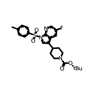 Cc1ccc(S(=O)(=O)n2cc(C3CCN(C(=O)OC(C)(C)C)CC3)c3cc(F)cnc32)cc1